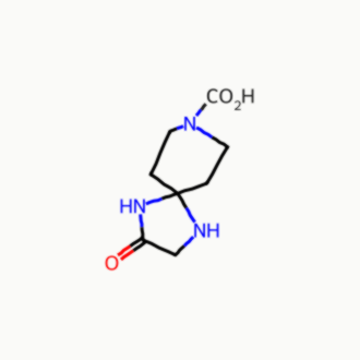 O=C1CNC2(CCN(C(=O)O)CC2)N1